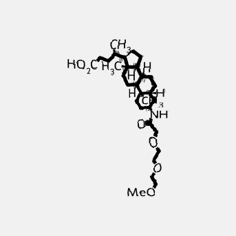 COCCOCCOCC(=O)N[C@H]1CC[C@@]2(C)[C@H](CC[C@@H]3[C@@H]2CC[C@]2(C)[C@@H]([C@H](C)CCC(=O)O)CC[C@@H]32)C1